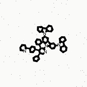 c1ccc(-c2cnc(-n3c4ccc(-n5c6ccccc6c6ccccc65)cc4c4cc(-n5c6ccccc6c6ccccc65)ccc43)c(-c3ccccc3)c2-c2ccc(-c3ccccn3)cc2)cc1